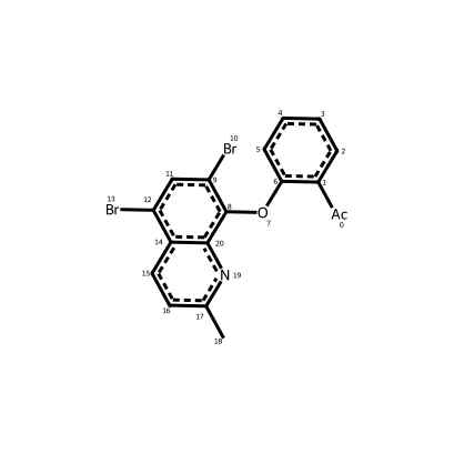 CC(=O)c1ccccc1Oc1c(Br)cc(Br)c2ccc(C)nc12